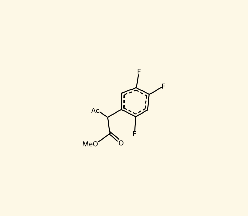 COC(=O)C(C(C)=O)c1cc(F)c(F)cc1F